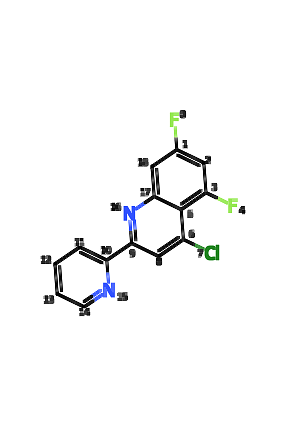 Fc1cc(F)c2c(Cl)cc(-c3ccccn3)nc2c1